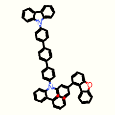 c1ccc(-c2ccccc2N(c2ccc(-c3ccc(-c4ccc(-n5c6ccccc6c6ccccc65)cc4)cc3)cc2)c2cccc(-c3cccc4oc5ccccc5c34)c2)cc1